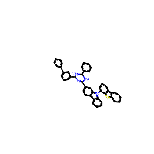 c1ccc(-c2cccc(C3N=C(c4ccc5c6ccccc6n(-c6cccc7c6sc6ccccc67)c5c4)NC(c4ccccc4)N3)c2)cc1